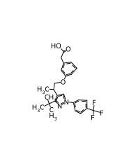 CC(COc1cccc(CC(=O)O)c1)c1cn(-c2ccc(C(F)(F)F)cc2)nc1C(C)(C)C